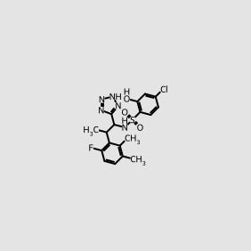 Cc1ccc(F)c(C(C)C(NS(=O)(=O)c2ccc(Cl)cc2O)c2nn[nH]n2)c1C